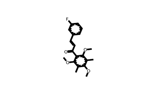 COc1c(C)c(OC)c(C(=O)C=Cc2cccc(F)c2)c(OC)c1C